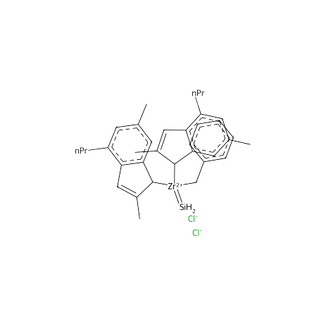 CCCc1cc(C)cc2c1C=C(C)[CH]2[Zr+2](=[SiH2])([CH2]c1ccccc1)[CH]1C(C)=Cc2c(CCC)cc(C)cc21.[Cl-].[Cl-]